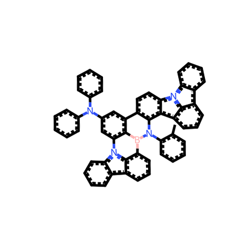 Cc1ccccc1N1B2c3c(cc(N(c4ccccc4)c4ccccc4)cc3-n3c4ccccc4c4cccc2c43)-c2ccc3c(c21)c1cccc2c4ccccc4n3c21